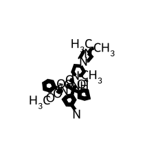 CCOc1ccccc1C1(NC(=O)N2CCC(N3CCN(C(C)C)CC3)CC2)C(=O)N(S(=O)(=O)c2ccccc2OC)c2ccc(C#N)cc21